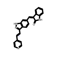 O=C1Nc2ccccc2C1=Cc1ccc2c(/C=C/c3ccncc3)n[nH]c2c1